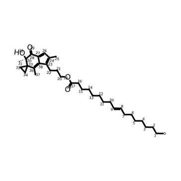 CCCCCCCC/C=C/CCCCCCCC(=O)OCCCC1=C(C)C=C2C(=O)[C@](C)(O)C3(CC3)C(C)=C21